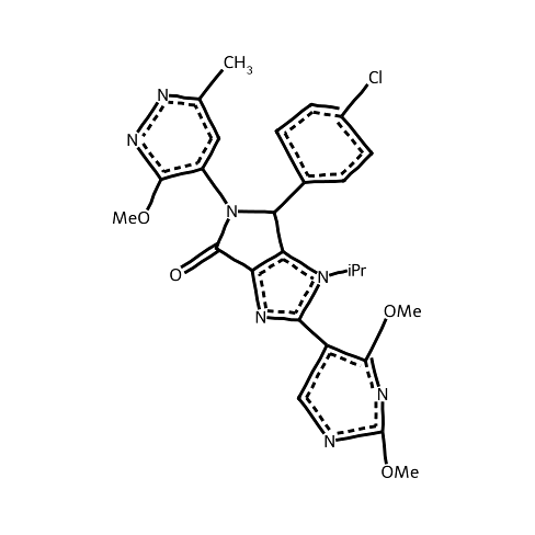 COc1ncc(-c2nc3c(n2C(C)C)C(c2ccc(Cl)cc2)N(c2cc(C)nnc2OC)C3=O)c(OC)n1